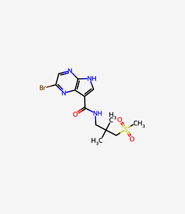 CC(C)(CNC(=O)c1c[nH]c2ncc(Br)nc12)CS(C)(=O)=O